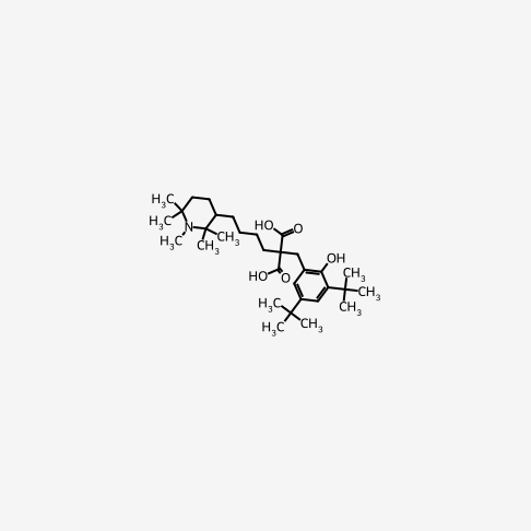 CN1C(C)(C)CCC(CCCCC(Cc2cc(C(C)(C)C)cc(C(C)(C)C)c2O)(C(=O)O)C(=O)O)C1(C)C